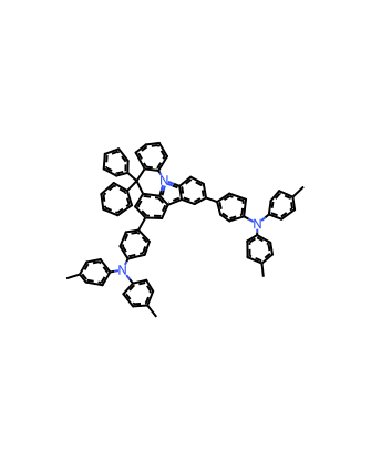 Cc1ccc(N(c2ccc(C)cc2)c2ccc(-c3ccc4c(c3)c3cc(-c5ccc(N(c6ccc(C)cc6)c6ccc(C)cc6)cc5)cc5c3n4-c3ccccc3C5(c3ccccc3)c3ccccc3)cc2)cc1